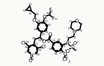 CS(=O)(=O)N(CCN1CCOCC1)c1cc(C(=O)OC(Cc2c(Cl)c[n+]([O-])cc2Cl)c2ccc(OC(F)F)c(OCC3CC3)c2)ccc1OC(F)(F)F